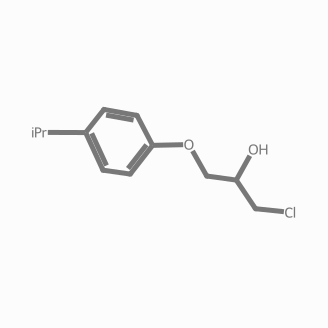 CC(C)c1ccc(OCC(O)CCl)cc1